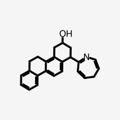 OC1Cc2c(ccc3c2CCc2ccccc2-3)C(C2=NC=CCC=C2)C1